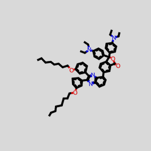 CCCCCCCCOc1cccc(-c2nc3cccc(-c4ccc5c(c4)C(=O)OC5(c4ccc(N(CC)CC)cc4)c4ccc(N(CC)CC)cc4)c3nc2-c2cccc(OCCCCCCCC)c2)c1